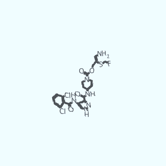 N/C=C(/COC(=O)N1CCC(NC(=O)c2n[nH]cc2NC(=O)c2c(Cl)cccc2Cl)CC1)SCF